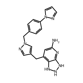 Nc1cc(Cc2cnn(Cc3ccc(-n4cccn4)cc3)c2)c2c(n1)NNN2